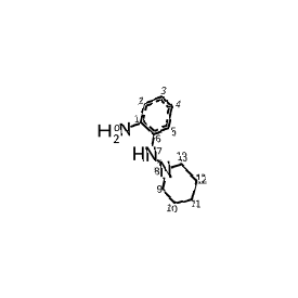 Nc1ccccc1NN1CCCCC1